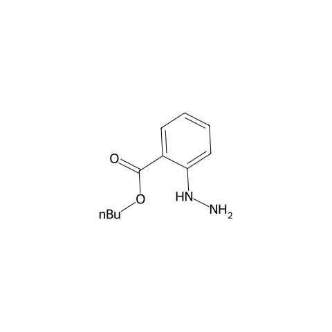 CCCCOC(=O)c1ccccc1NN